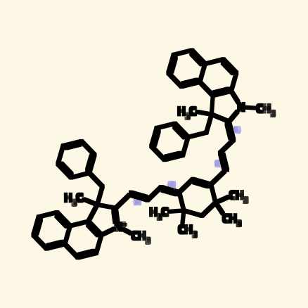 CN1/C(=C/C=C/C2=CC(=C/C=C/C3=[N+](C)c4ccc5ccccc5c4C3(C)Cc3ccccc3)/C(C)(C)CC2(C)C)C(C)(Cc2ccccc2)c2c1ccc1ccccc21